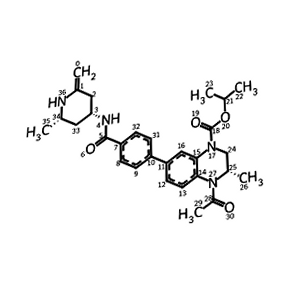 C=C1C[C@H](NC(=O)c2ccc(-c3ccc4c(c3)N(C(=O)OC(C)C)C[C@H](C)N4C(C)=O)cc2)C[C@H](C)N1